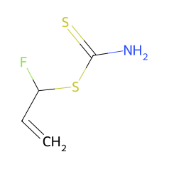 C=CC(F)SC(N)=S